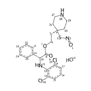 Cl.O=NSC1(CCOC(=O)C(Nc2c(Cl)cccc2Cl)c2ccccc2)CCNCC1